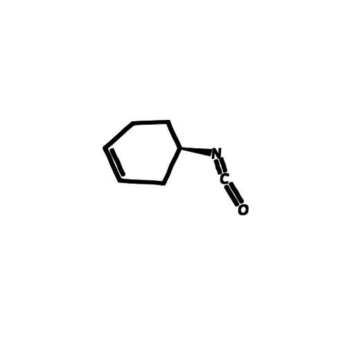 O=C=N[C@H]1CC=CCC1